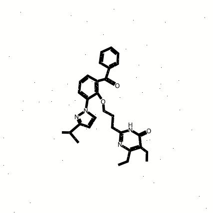 CCc1nc(CCCOc2c(C(=O)c3ccccc3)cccc2-n2ccc(C(C)C)n2)[nH]c(=O)c1CC